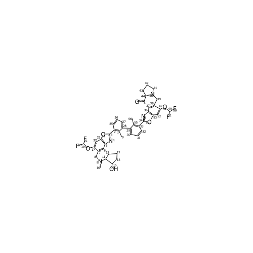 Cc1c(-c2nc3cc(CN(C)C4CCCC4O)c(OC(F)F)cc3o2)cccc1-c1cccc(-c2nc3cc(CN4CCCC4C=O)c(OC(F)F)cc3o2)c1C